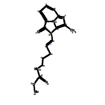 Cc1nc2cccc3c(=O)n(/C=C/CCCNC(=O)OC(C)(C)C)c1n23